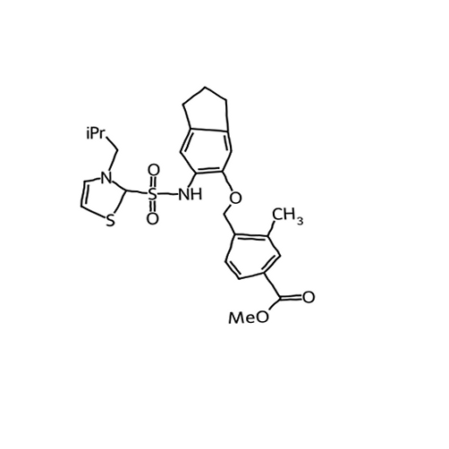 COC(=O)c1ccc(COc2cc3c(cc2NS(=O)(=O)C2SC=CN2CC(C)C)CCC3)c(C)c1